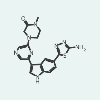 CN1CCN(c2cncc(-c3c[nH]c4ccc(-c5nnc(N)s5)cc34)n2)CC1=O